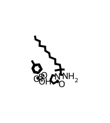 CCCCCCCCCCCC(C)(C)C(N)N1CCCC1=O.Cc1ccc(S(=O)(=O)O)cc1